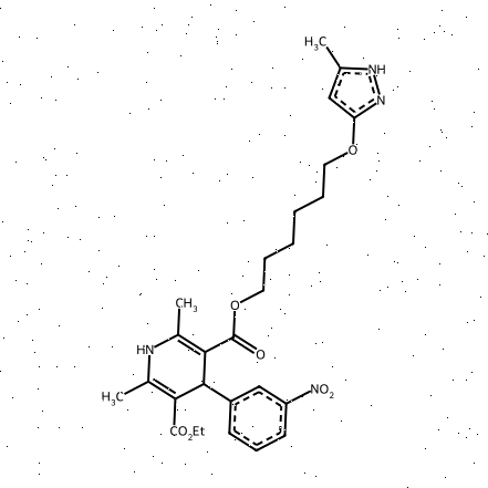 CCOC(=O)C1=C(C)NC(C)=C(C(=O)OCCCCCCOc2cc(C)[nH]n2)C1c1cccc([N+](=O)[O-])c1